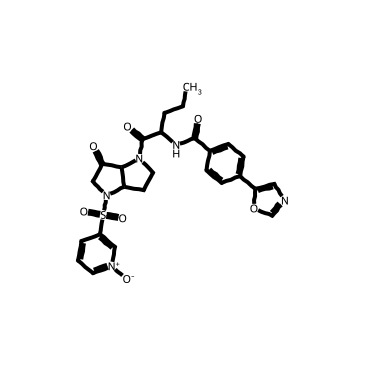 CCCC(NC(=O)c1ccc(-c2cnco2)cc1)C(=O)N1CCC2C1C(=O)CN2S(=O)(=O)c1ccc[n+]([O-])c1